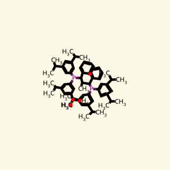 CC(C)c1cc(C(C)C)cc(P(c2cc(C(C)C)cc(C(C)C)c2)C(c2ccccc2)C(C)C(c2ccccc2)P(c2cc(C(C)C)cc(C(C)C)c2)c2cc(C(C)C)cc(C(C)C)c2)c1